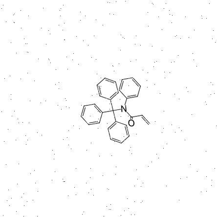 C=CC(=O)N(c1ccccc1)C(c1ccccc1)(c1ccccc1)c1ccccc1